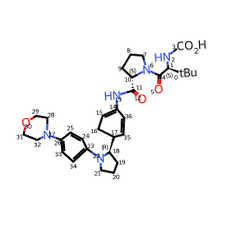 CC(C)(C)[C@H](NC(=O)O)C(=O)N1CCC[C@H]1C(=O)NC1=CCC([C@H]2CCCN2c2ccc(N3CCOCC3)cc2)C=C1